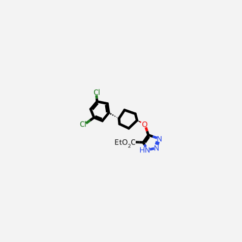 CCOC(=O)c1[nH]nnc1O[C@H]1CC[C@@H](c2cc(Cl)cc(Cl)c2)CC1